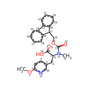 COc1ccc(C[C@@H](C(=O)O)N(C)C(=O)OCC2c3ccccc3-c3ccccc32)cn1